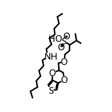 CC(C)C(CCOCC1COc2cscc2O1)S(=O)(=O)O.CCCCCCCCNCCCCCCCC